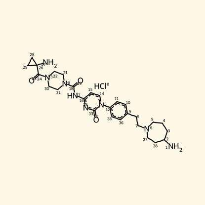 Cl.NC1CCCN(CCc2ccc(-n3ccc(NC(=O)N4CCN(C(=O)C5(N)CC5)CC4)nc3=O)cc2)CC1